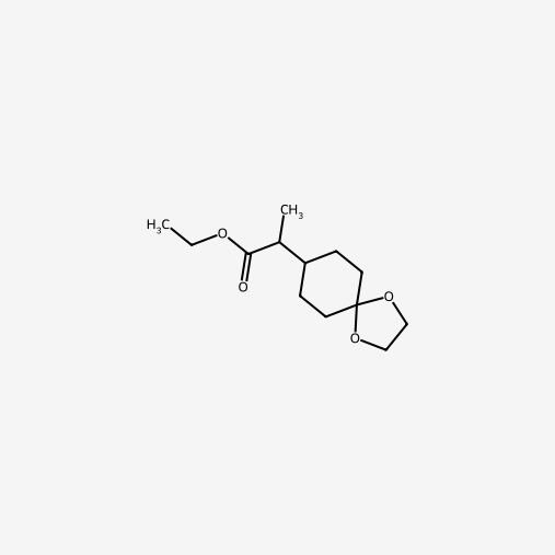 CCOC(=O)C(C)C1CCC2(CC1)OCCO2